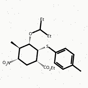 CCOC(=O)[C@@H]1C[C@H]([N+](=O)[O-])[C@@H](C)[C@H](OC(CC)CC)[C@@H]1Sc1ccc(C)cc1